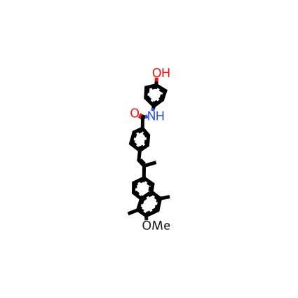 COc1cc(C)c2cc(C(C)=Cc3ccc(C(=O)Nc4ccc(O)cc4)cc3)ccc2c1C